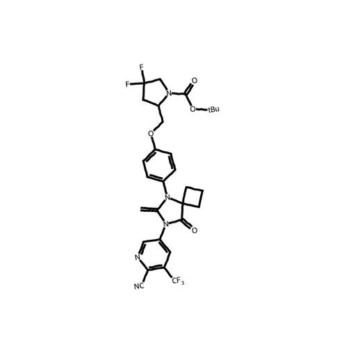 C=C1N(c2cnc(C#N)c(C(F)(F)F)c2)C(=O)C2(CCC2)N1c1ccc(OCC2CC(F)(F)CN2C(=O)OC(C)(C)C)cc1